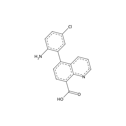 Nc1ccc(Cl)cc1-c1ccc(C(=O)O)c2ncccc12